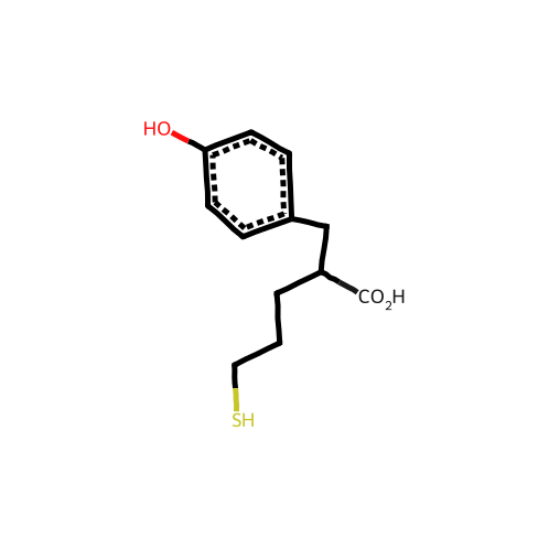 O=C(O)C(CCCS)Cc1ccc(O)cc1